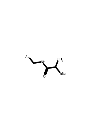 CCCCC(C)C(=O)NCC(C)=O